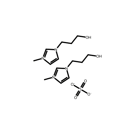 C[n+]1ccn(CCCO)c1.C[n+]1ccn(CCCO)c1.O=S(=O)([O-])[O-]